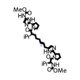 COC(=O)Nc1cnc([C@H]2CCCN2C(=O)[C@@H](CCC/C=C/Cc2cnc(C3CCCN3C(=O)C(NC(=O)OC)C(C)C)[nH]2)C(C)C)[nH]1